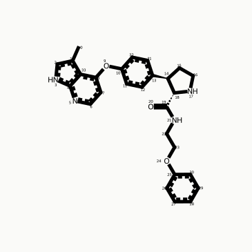 Cc1c[nH]c2nccc(Oc3ccc([C@H]4CCN[C@@H]4C(=O)NCCOc4ccccc4)cc3)c12